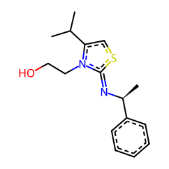 CC(C)c1cs/c(=N\[C@@H](C)c2ccccc2)n1CCO